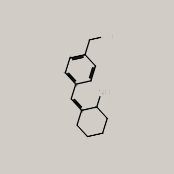 NC1CCCC/C1=C/c1ccc(CO)cc1